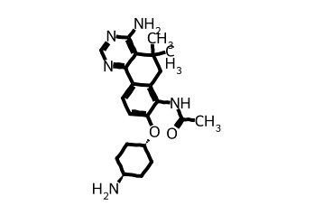 CC(=O)Nc1c(O[C@H]2CC[C@H](N)CC2)ccc2c1CC(C)(C)c1c(N)ncnc1-2